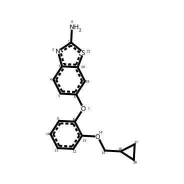 Nc1nc2ccc(Oc3ccccc3OCC3CC3)cc2s1